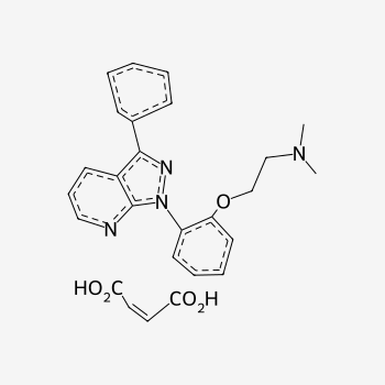 CN(C)CCOc1ccccc1-n1nc(-c2ccccc2)c2cccnc21.O=C(O)/C=C\C(=O)O